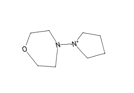 C1CC[N+](N2CCOCC2)C1